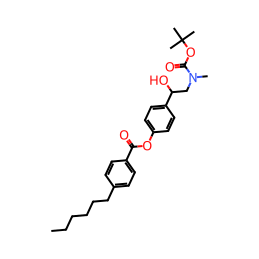 CCCCCCc1ccc(C(=O)Oc2ccc(C(O)CN(C)C(=O)OC(C)(C)C)cc2)cc1